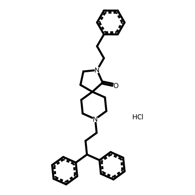 Cl.O=C1N(CCc2ccccc2)CCC12CCN(CCC(c1ccccc1)c1ccccc1)CC2